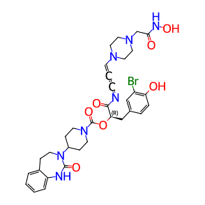 O=C(CN1CCN(C=C=C=NC(=O)[C@@H](Cc2ccc(O)c(Br)c2)OC(=O)N2CCC(N3CCc4ccccc4NC3=O)CC2)CC1)NO